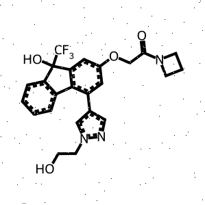 O=C(COc1cc(-c2cnn(CCO)c2)c2c(c1)C(O)(C(F)(F)F)c1ccccc1-2)N1CCC1